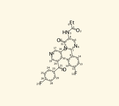 CCC(=O)Nc1cnc(-c2ccc(F)cc2)n(-c2cncc(C(=O)c3ccc(F)cc3)c2)c1=O